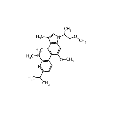 COCC(C)n1cc(C)c2nc(-c3ccc(C(C)C)nc3N(C)C)c(OC)cc21